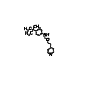 CC(C)(C)c1ccc(NCOCCc2ccncc2)cc1